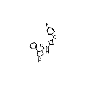 O=C(N[C@H]1C[C@H](Oc2ccc(F)cc2)C1)C1CNCC1c1ccccc1